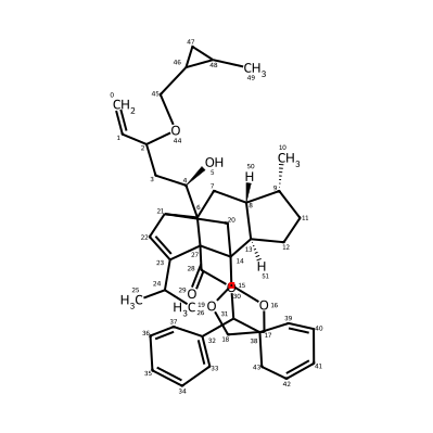 C=CC(C[C@@H](O)C12C[C@@H]3[C@H](C)CC[C@H]3C3(C4OCCO4)CC1C=C(C(C)C)C23C(=O)OC(c1ccccc1)C1C=CC=CC1)OCC1CC1C